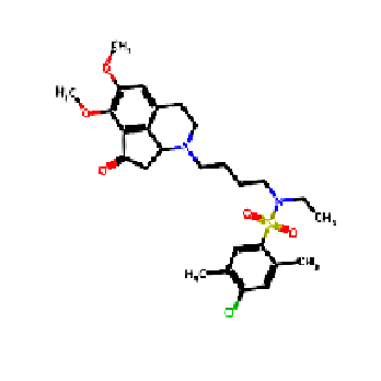 CCN(CCCCN1CCc2cc(OC)c(OC)c3c2C1CC3=O)S(=O)(=O)c1cc(C)c(Cl)cc1C